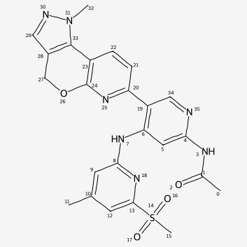 CC(=O)Nc1cc(Nc2cc(C)cc(S(C)(=O)=O)n2)c(-c2ccc3c(n2)OCc2cnn(C)c2-3)cn1